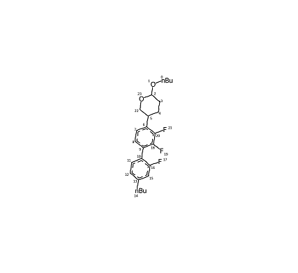 CCCCOC1CCC(c2ccc(-c3ccc(CCCC)cc3F)c(F)c2F)CO1